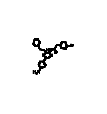 Nc1ccc(-c2cnc(NC(=O)Cc3ccc(Br)cc3)c(CCc3ccccc3)n2)cc1